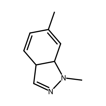 CC1=CC2C(C=C1)C=NN2C